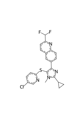 Cn1c(C2CC2)nc(-c2ccc3nc(C(F)F)ccc3c2)c1Sc1ccc(Cl)cn1